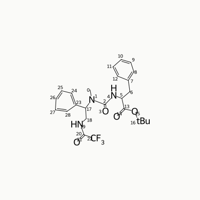 CN(C(=O)NC(Cc1ccccc1)C(=O)OC(C)(C)C)C(CNC(=O)C(F)(F)F)c1ccccc1